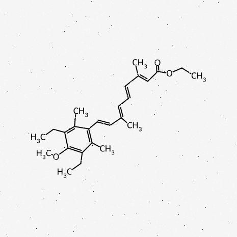 CCOC(=O)C=C(C)C=CC=C(C)C=Cc1c(C)c(CC)c(OC)c(CC)c1C